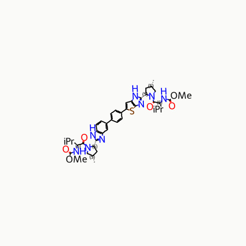 COC(=O)N[C@H](C(=O)N1C[C@@H](C)C[C@H]1c1nc2cc(-c3ccc(-c4cc5[nH]c([C@@H]6C[C@H](C)CN6C(=O)[C@@H](NC(=O)OC)C(C)C)nc5s4)cc3)ccc2[nH]1)C(C)C